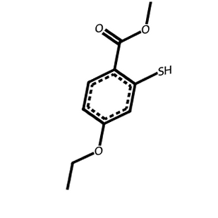 CCOc1ccc(C(=O)OC)c(S)c1